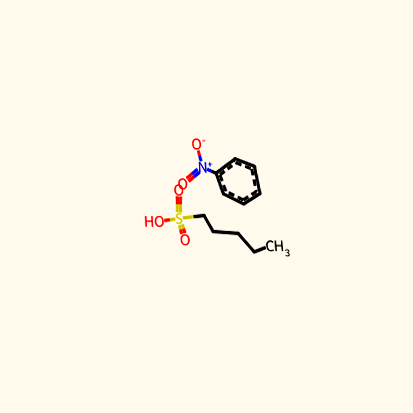 CCCCCS(=O)(=O)O.O=[N+]([O-])c1ccccc1